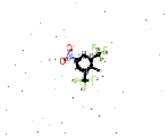 Cc1c(C(F)(F)F)cc([N+](=O)[O-])cc1C(F)(F)F